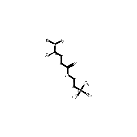 CCN(CC)[C@@H](CCC(=O)OCC[Si](C)(C)C)C(C)=O